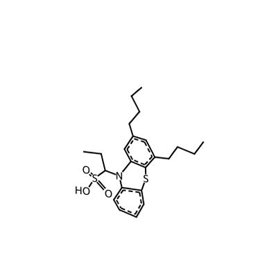 CCCCc1cc(CCCC)c2c(c1)N(C(CC)S(=O)(=O)O)c1ccccc1S2